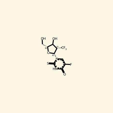 O=c1[nH]c(=S)n([C@@H]2O[C@H](CO)C(O)[C@@H]2C(F)(F)F)cc1F